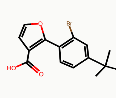 CC(C)(C)c1ccc(-c2occc2C(=O)O)c(Br)c1